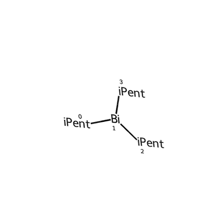 CCC[CH](C)[Bi]([CH](C)CCC)[CH](C)CCC